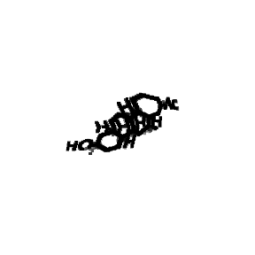 CC(=O)[C@H]1CCC[C@@H]2[C@H]3CC[C@@H]4C[C@](C)(O)CC[C@@H]4[C@H]3C[C@H](C)[C@H]2C1